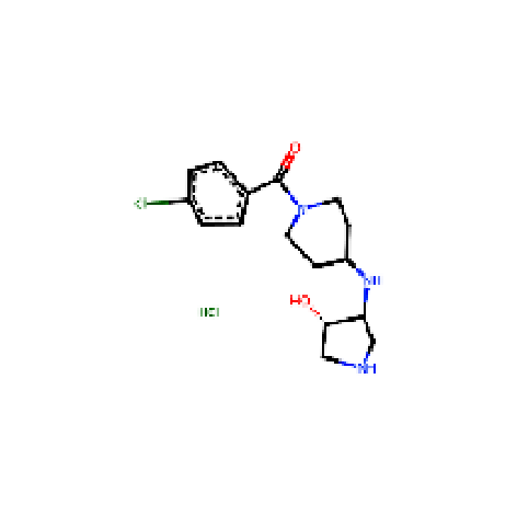 Cl.O=C(c1ccc(Cl)cc1)N1CCC(N[C@H]2CNC[C@@H]2O)CC1